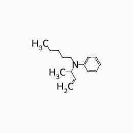 C=CC(C)N(CCCCC)c1ccccc1